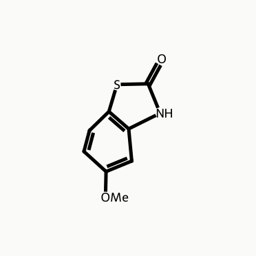 COc1ccc2sc(=O)[nH]c2c1